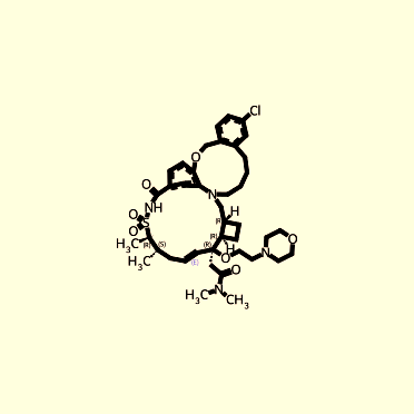 C[C@@H]1[C@@H](C)C/C=C/[C@](CC(=O)N(C)C)(OCCN2CCOCC2)[C@@H]2CC[C@H]2CN2CCCCc3cc(Cl)ccc3COc3ccc(cc32)C(=O)NS1(=O)=O